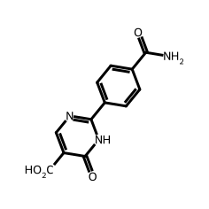 NC(=O)c1ccc(-c2ncc(C(=O)O)c(=O)[nH]2)cc1